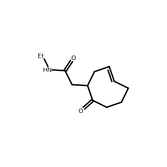 CCNC(=O)CC1C/C=C/CCCC1=O